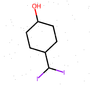 OC1CCC(C(I)I)CC1